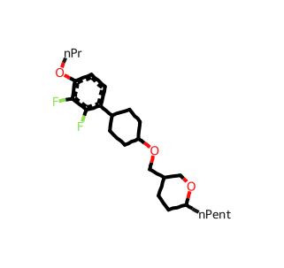 CCCCCC1CCC(COC2CCC(c3ccc(OCCC)c(F)c3F)CC2)CO1